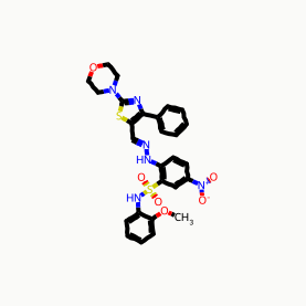 COc1ccccc1NS(=O)(=O)c1cc([N+](=O)[O-])ccc1NN=Cc1sc(N2CCOCC2)nc1-c1ccccc1